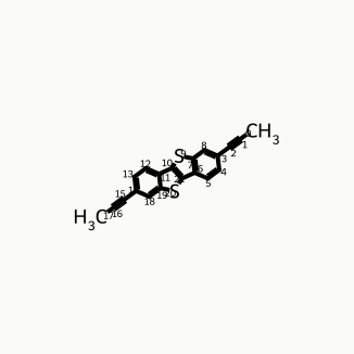 CC#Cc1ccc2c(c1)sc1c3ccc(C#CC)cc3sc21